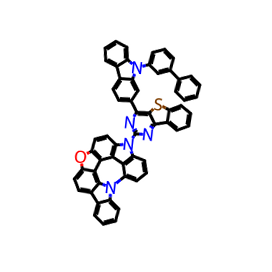 c1ccc(-c2cccc(-n3c4ccccc4c4ccc(-c5nc(-n6c7ccc8oc9ccc%10c%11ccccc%11n%11c%12cccc6c%12c7c8c9c%10%11)nc6c5sc5ccccc56)cc43)c2)cc1